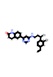 C=Cc1ccc(C(CC)CCNc2cc(-c3ccc4c(c3)CCC(=O)N4)ncn2)c(CC)c1